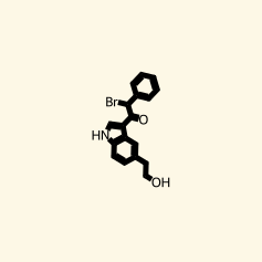 O=C(c1c[nH]c2ccc(CCO)cc12)C(Br)c1ccccc1